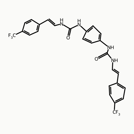 O=C(N/C=C/c1ccc(C(F)(F)F)cc1)Nc1ccc(NC(=O)N/C=C/c2ccc(C(F)(F)F)cc2)cc1